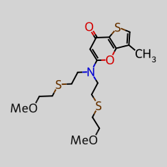 COCCSCCN(CCSCCOC)c1cc(=O)c2scc(C)c2o1